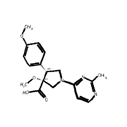 COc1ccc([C@@H]2CN(c3ccnc(C)n3)C[C@@]2(OC)C(=O)O)cc1